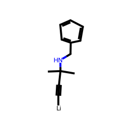 [Li][C]#CC(C)(C)NCc1ccccc1